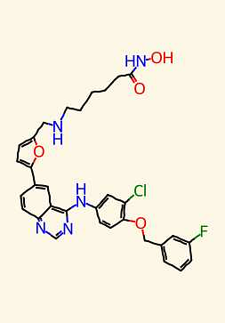 O=C(CCCCCNCc1ccc(-c2ccc3ncnc(Nc4ccc(OCc5cccc(F)c5)c(Cl)c4)c3c2)o1)NO